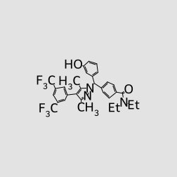 CCN(CC)C(=O)c1ccc(C(c2cccc(O)c2)n2nc(C)c(-c3cc(C(F)(F)F)cc(C(F)(F)F)c3)c2C)cc1